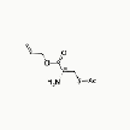 C=CCOC(=O)[C@@H](N)CSC(C)=O